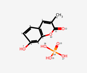 Cc1cc2ccc(O)cc2oc1=O.O=P(O)(O)O